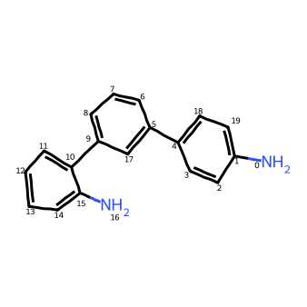 Nc1ccc(-c2cccc(-c3ccccc3N)c2)cc1